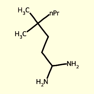 CCCC(C)(C)CCC(N)N